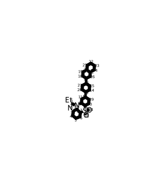 CCc1nc2cccc3c2n1-c1cc(-c2ccc(-c4ccc5ccccc5c4)cc2)ccc1S3(=O)=O